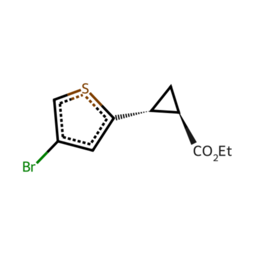 CCOC(=O)[C@@H]1C[C@H]1c1cc(Br)cs1